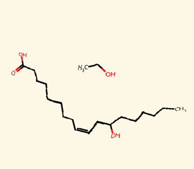 CCCCCCC(O)C/C=C\CCCCCCCC(=O)O.CCO